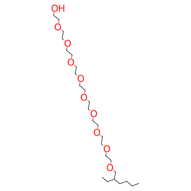 CCCCC(CC)COCCOCCOCCOCCOCCOCCOCCOCCOCCO